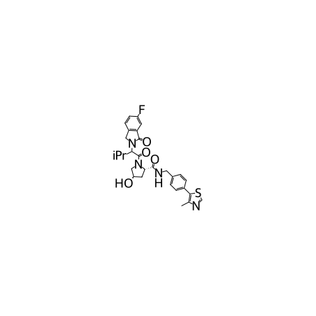 Cc1ncsc1-c1ccc(CNC(=O)[C@@H]2C[C@@H](O)CN2C(=O)C(C(C)C)N2Cc3ccc(F)cc3C2=O)cc1